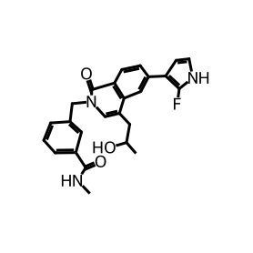 CNC(=O)c1cccc(Cn2cc(CC(C)O)c3cc(-c4cc[nH]c4F)ccc3c2=O)c1